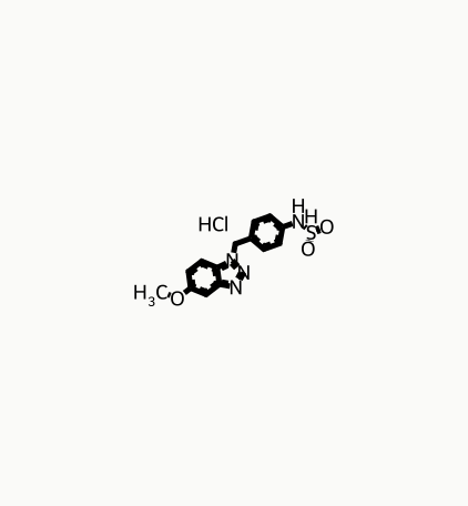 COc1ccc2c(c1)nnn2Cc1ccc(N[SH](=O)=O)cc1.Cl